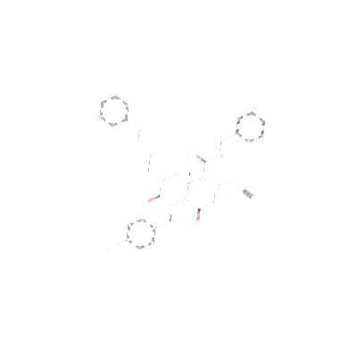 C#CCN1CC(=O)N2[C@@H](Cc3ccc(C)cc3)C(=O)N(CCOCc3cccc(F)c3)C[C@@H]2N1C(=O)NCc1ccccc1